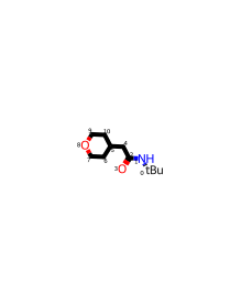 CC(C)(C)NC(=O)CC1CCOCC1